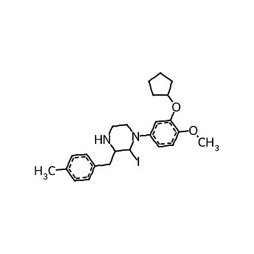 COc1ccc(N2CCNC(Cc3ccc(C)cc3)C2I)cc1OC1CCCC1